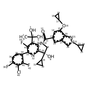 CC(C)(O)c1cc([C@@](O)(CNC(=O)c2cc(OC3CC3)c3nn(C4CC4)cc3c2)C2CC2)nc(-c2ccc(F)c(Cl)c2F)c1F